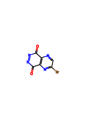 O=C1N=NC(=O)c2nc(Br)cnc21